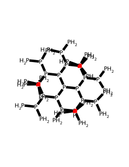 PPP(P)P(P(P(P)P)P(P)P)P(P(P(P(P)P)P(P)P)P(P(P)P)P(P)P)P(P(P(P)P)P(P)P)P(P(P)P)P(P)P